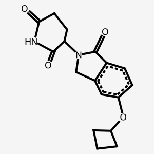 O=C1CCC(N2Cc3cc(OC4CCC4)ccc3C2=O)C(=O)N1